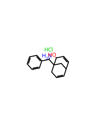 Cl.NC(c1ccccc1)C12CC=CC(C=CC1O)C2